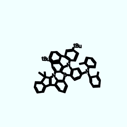 Cc1ccccc1N(c1ccc2c(c1)N(c1ccc(C(C)(C)C)cc1-c1ccccc1)c1cc(C(C)(C)C)cc3c1B2c1cccc2c4c(n-3c12)C(C)(C)c1ccccc1-4)c1ccccc1C